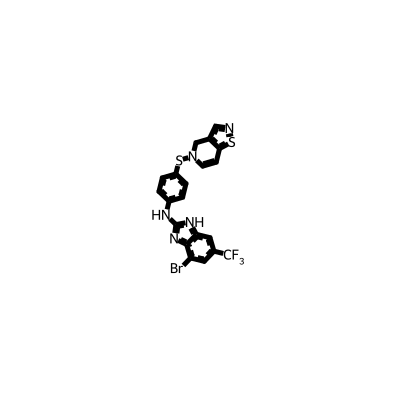 FC(F)(F)c1cc(Br)c2nc(Nc3ccc(SN4C=Cc5sncc5C4)cc3)[nH]c2c1